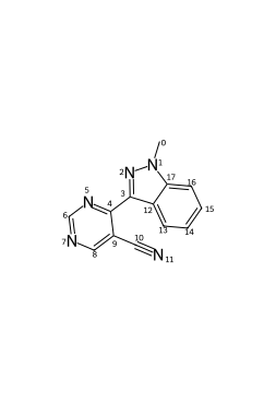 Cn1nc(-c2ncncc2C#N)c2ccccc21